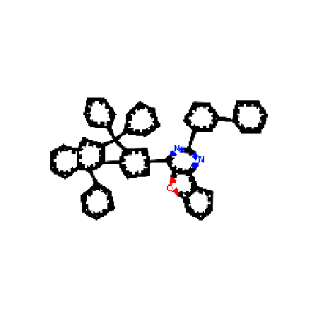 c1ccc(-c2cccc(-c3nc(-c4ccc5c(c4)C(c4ccccc4)(c4ccccc4)c4cc6ccccc6c(-c6ccccc6)c4-5)c4oc5ccccc5c4n3)c2)cc1